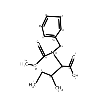 CCC(C)C(C(=O)O)N(Cc1ccccc1)C(=O)OC